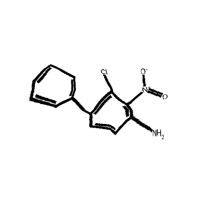 Nc1ccc(-c2ccccc2)c(Cl)c1[N+](=O)[O-]